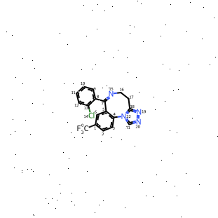 FC(F)(F)c1ccc2c(c1)/C(c1ccccc1Cl)=N\CCc1nncn1-2